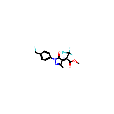 COC(=O)/C(=C1/C(=O)N(c2ccc(CF)cc2)N=C1C)C(F)(F)F